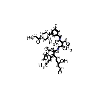 C/C(=C\c1cc(F)cc(N2CCN(C(=O)CO)CC2)c1)[C@@H](C=O)[C@@H](C)/C=C/[C@H](OC(=O)N1CCN(C)CC1)[C@@H](C)CC[C@@H](O)CC=O